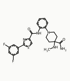 CNC1(C(N)=O)CCN(c2ccccc2NC(=O)c2csc(-c3cc(F)cc(F)c3)n2)CC1